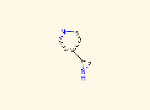 c1cc(C2CN2)ccn1